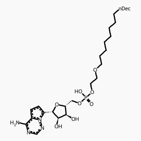 CCCCCCCCCCCCCCCCCCOCCOP(=O)(O)OC[C@H]1O[C@@H](c2ccc3c(N)ncnn23)[C@H](O)[C@@H]1O